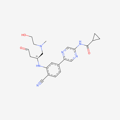 CN(CCO)C[C@H](CC=O)Nc1cc(-c2cnc(NC(=O)C3CC3)cn2)ccc1C#N